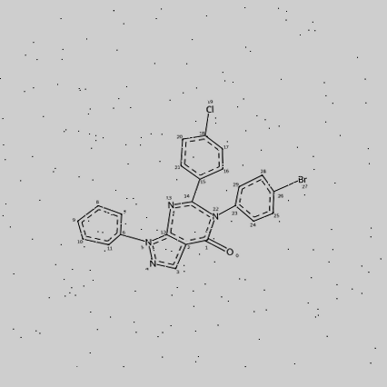 O=c1c2cnn(-c3ccccc3)c2nc(-c2ccc(Cl)cc2)n1-c1ccc(Br)cc1